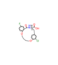 O=C1N[C@H](C(=O)O)Cc2ccc(c(Cl)c2)OCCCCOc2ccc(F)cc21